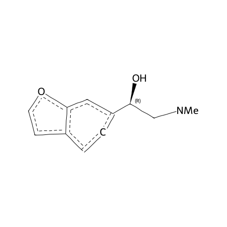 CNC[C@H](O)c1ccc2ccoc2c1